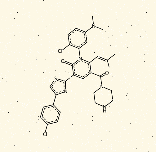 CC(C)=Cc1c(C(=O)N2CCNCC2)cc(-c2nc(-c3ccc(Cl)cc3)cs2)c(=O)n1-c1cc(N(C)C)ccc1Cl